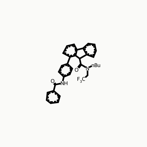 CCCCN(CC(F)(F)F)C(=O)C1c2ccccc2-c2cccc(-c3ccc(NC(=O)c4ccccc4)cc3)c21